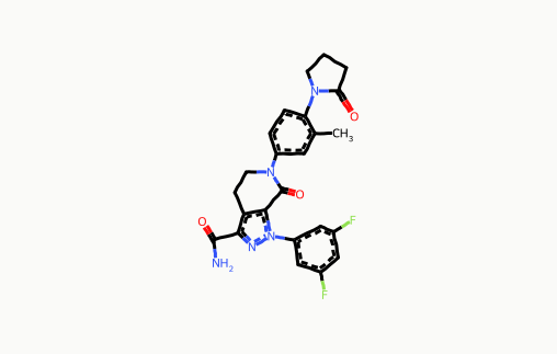 Cc1cc(N2CCc3c(C(N)=O)nn(-c4cc(F)cc(F)c4)c3C2=O)ccc1N1CCCC1=O